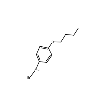 CCCCOc1cc[c]([Mg][Br])cc1